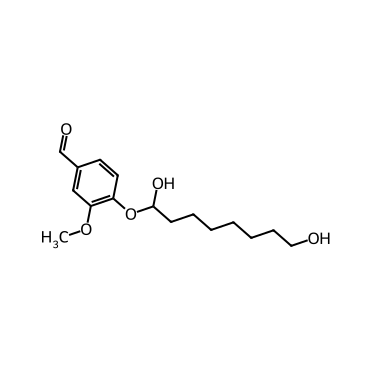 COc1cc(C=O)ccc1OC(O)CCCCCCCO